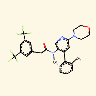 Cc1ccccc1-c1cc(N2CCOCC2)ncc1N(C)C(=O)Cc1cc(C(F)(F)F)cc(C(F)(F)F)c1